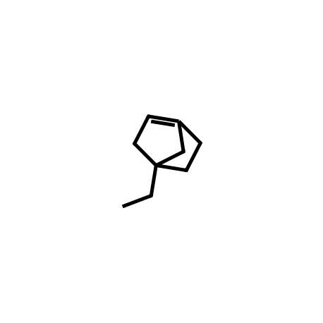 CCC12CC=C(CC1)C2